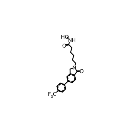 O=C(CCCCCN1Cc2cc(-c3ccc(C(F)(F)F)cc3)ccc2C1=O)NO